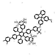 COc1ccc(C2(c3ccc(Oc4ccc(-c5ccc(-c6c(-c7ccc(S(=O)(=O)O)c(S(=O)(=O)O)c7)c(-c7ccccc7)c(-c7ccc(-c8ccc(C)c(C)c8)cc7)c(-c7ccccc7)c6-c6ccc(S(=O)(=O)O)c(S(=O)(=O)O)c6)cc5)cc4C(F)(F)F)cc3)c3ccccc3-c3ccccc32)cc1